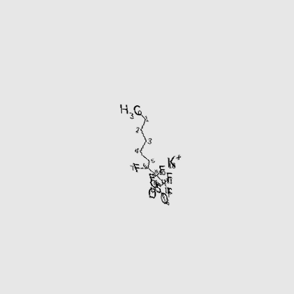 CCCCCCC(F)C(F)(F)C(F)(F)S(=O)(=O)[O-].[K+]